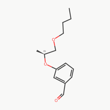 CCCCOC[C@H](C)Oc1cccc(C=O)c1